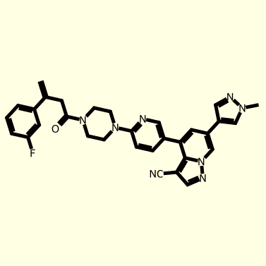 C=C(CC(=O)N1CCN(c2ccc(-c3cc(-c4cnn(C)c4)cn4ncc(C#N)c34)cn2)CC1)c1cccc(F)c1